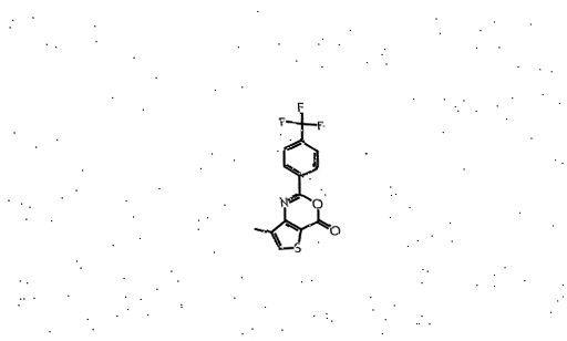 Cc1csc2c(=O)oc(-c3ccc(C(F)(F)F)cc3)nc12